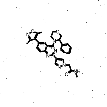 CNC(=O)Cn1cc(-c2nc(N3CCOCC3c3ccccc3)c3cc(-c4c(C)noc4C)ccc3n2)cn1